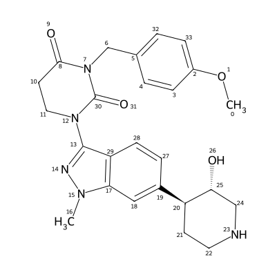 COc1ccc(CN2C(=O)CCN(c3nn(C)c4cc([C@@H]5CCNC[C@H]5O)ccc34)C2=O)cc1